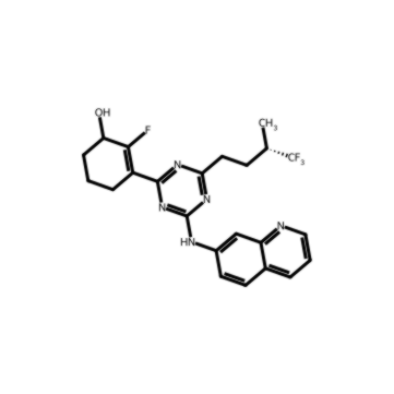 C[C@@H](CCc1nc(Nc2ccc3cccnc3c2)nc(C2=C(F)C(O)CCC2)n1)C(F)(F)F